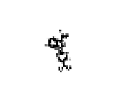 O=C(O)c1cnc(-n2nc(C(F)F)c3ccccc32)nc1